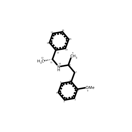 COc1ccccc1CC(C)N[C@H](C)c1ccccc1